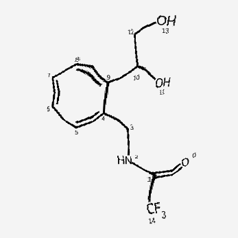 O=C(NCc1ccccc1C(O)CO)C(F)(F)F